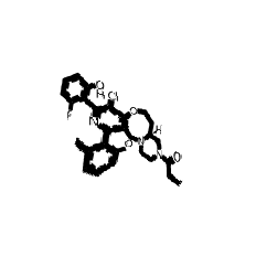 C=CC(=O)N1CCN2C(=O)c3c(-c4c(C)cccc4C)nc(-c4c(O)cccc4F)c(Cl)c3OCC[C@H]2C1